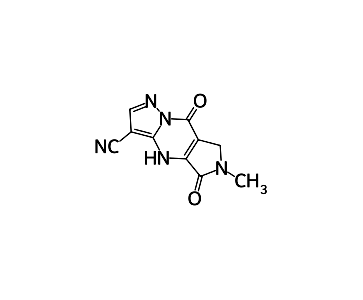 CN1Cc2c([nH]c3c(C#N)cnn3c2=O)C1=O